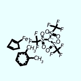 Cc1ccccc1C.O=S(=O)([C-](S(=O)(=O)C(F)(F)F)S(=O)(=O)C(F)(F)F)C(F)(F)F.[Fe+][C]1=CC=CC1